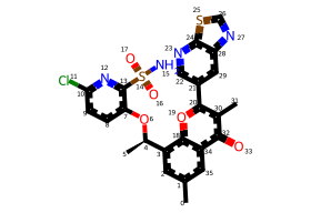 Cc1cc([C@@H](C)Oc2ccc(Cl)nc2S(N)(=O)=O)c2oc(-c3cnc4scnc4c3)c(C)c(=O)c2c1